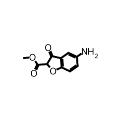 COC(=O)C1Oc2ccc(N)cc2C1=O